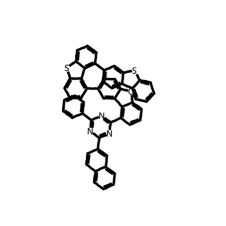 c1ccc(-c2nc(-c3ccc4ccccc4c3)nc(-c3cccc4oc5ccc(-c6cccc7sc8cccc(-c9ccc%10c(c9)sc9ccccc9%10)c8c67)cc5c34)n2)cc1